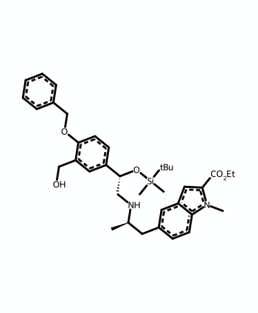 CCOC(=O)c1cc2cc(C[C@@H](C)NC[C@@H](O[Si](C)(C)C(C)(C)C)c3ccc(OCc4ccccc4)c(CO)c3)ccc2n1C